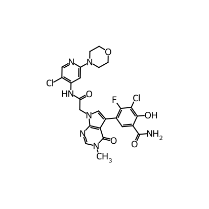 Cn1cnc2c(c(-c3cc(C(N)=O)c(O)c(Cl)c3F)cn2CC(=O)Nc2cc(N3CCOCC3)ncc2Cl)c1=O